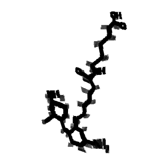 Cc1cc(N)ccc1/C=C1/C=CC(N)=C/C1=N\CCCCCC(=O)NCCCCCC(=O)O